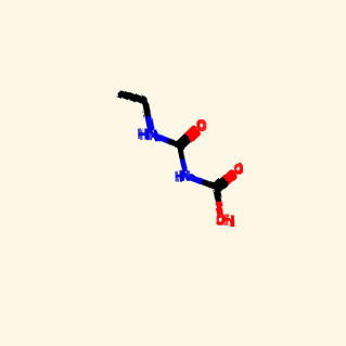 CCNC(=O)NC(=O)O